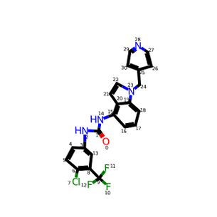 O=C(Nc1ccc(Cl)c(C(F)(F)F)c1)Nc1cccc2c1ccn2Cc1ccncc1